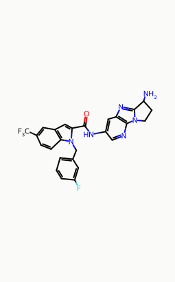 NC1CCn2c1nc1cc(NC(=O)c3cc4cc(C(F)(F)F)ccc4n3Cc3cccc(F)c3)cnc12